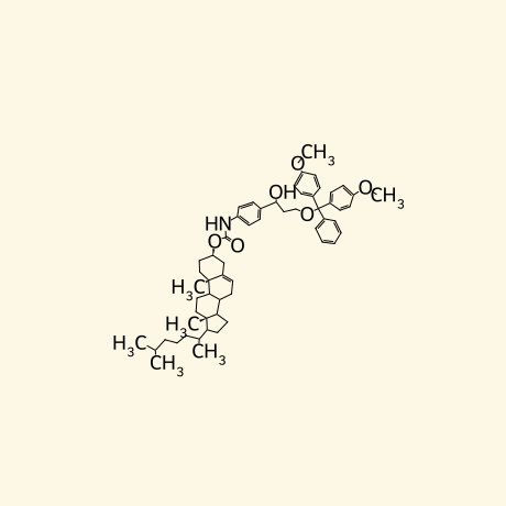 COc1ccc(C(OCCC(O)c2ccc(NC(=O)O[C@@H]3CC[C@]4(C)C(=CCC5C6CCC(C(C)CCCC(C)C)[C@]6(C)CCC54)C3)cc2)(c2ccccc2)c2ccc(OC)cc2)cc1